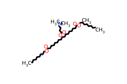 CCCCCC/C=C/COC(=O)CCCCCCCC(CCCCCCCC(=O)OCC(C)CCCCCCC)OC(=O)CCCN(C)C